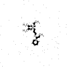 C[CH]C(OCCC[Si](OCC)(OCC)OCC)N1CCCCC1